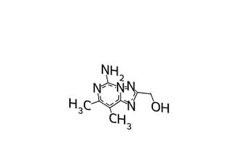 Cc1nc(N)n2nc(CO)nc2c1C